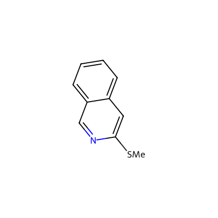 CSc1cc2ccccc2cn1